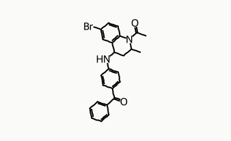 CC(=O)N1c2ccc(Br)cc2C(Nc2ccc(C(=O)c3ccccc3)cc2)CC1C